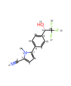 Cn1c(C#N)ccc1-c1ccc([C@H](O)C(F)(F)F)cc1